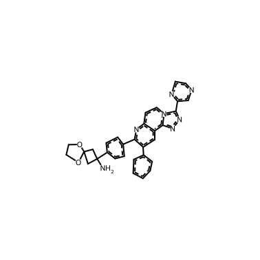 NC1(c2ccc(-c3nc4ccn5c(-c6cnccn6)nnc5c4cc3-c3ccccc3)cc2)CC2(C1)OCCO2